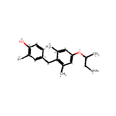 CC(=O)NCC(C)Oc1cc(C)c(Cc2ccc(O)c(C(C)C)c2)c(C)c1